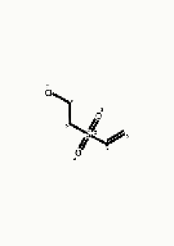 C=CS(=O)(=O)CCCl